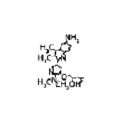 Cc1c(-c2cnc(N(C)C)c(OCC(O)CF)c2)nc2ccc(N)cc2c1C